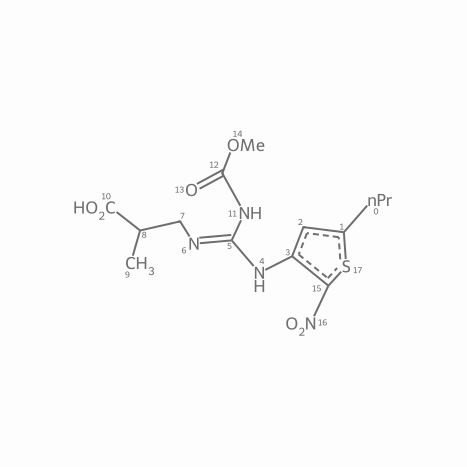 CCCc1cc(NC(=NCC(C)C(=O)O)NC(=O)OC)c([N+](=O)[O-])s1